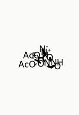 CC(=O)OC[C@@]1(CF)O[C@@H](n2ccc(=O)[nH]c2=O)C(N=[N+]=[N-])[C@@H]1OC(C)=O